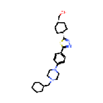 OC[C@H]1CC[C@H](c2nnc(-c3ccc(N4CCN(CC5CCCCC5)CC4)cc3)s2)CC1